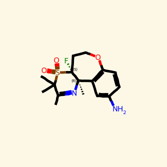 CC1=N[C@]2(C)c3cc(N)ccc3OCC[C@]2(F)S(=O)(=O)C1(C)C